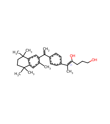 C=C(c1ccc(/C(C)=C(\O)CCCO)cc1)c1cc2c(cc1C)C(C)(C)CCC2(C)C